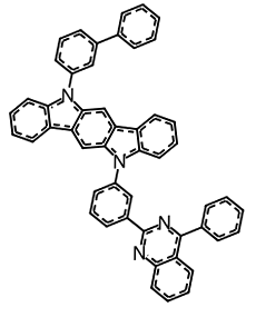 c1ccc(-c2cccc(-n3c4ccccc4c4cc5c(cc43)c3ccccc3n5-c3cccc(-c4nc(-c5ccccc5)c5ccccc5n4)c3)c2)cc1